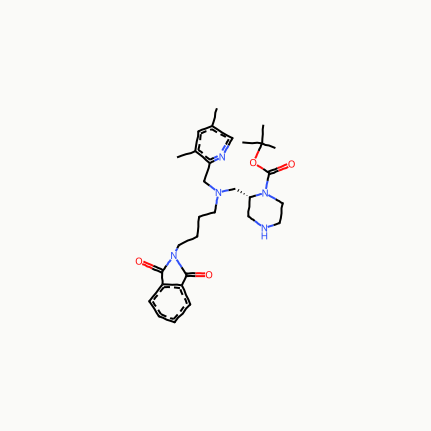 Cc1cnc(CN(CCCCN2C(=O)c3ccccc3C2=O)C[C@H]2CNCCN2C(=O)OC(C)(C)C)c(C)c1